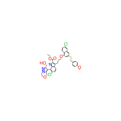 CCOC(=O)c1c(CCCOc2cc(SCc3ccc(OC)cc3)cc3cc(Cl)ccc23)c2ccc(Cl)c(-c3c(CO)nn4c3COCC4)c2n1C